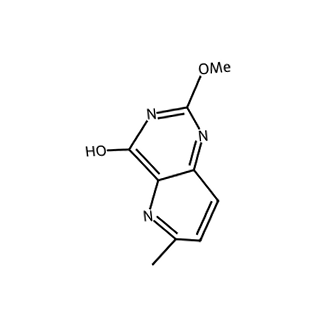 COc1nc(O)c2nc(C)ccc2n1